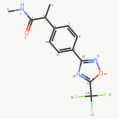 CNC(=O)C(C)c1ccc(-c2noc(C(F)(F)F)n2)cc1